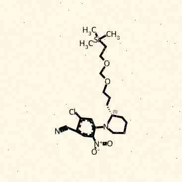 C[Si](C)(C)CCOCOCCC[C@@H]1CCCCN1c1cc(Cl)c(C#N)cc1[N+](=O)[O-]